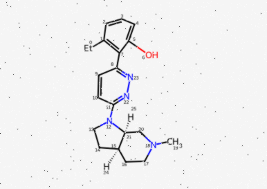 CCc1cccc(O)c1-c1ccc(N2CC[C@@H]3CCN(C)C[C@@H]32)nn1